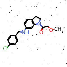 COCC(=O)N1CCc2ccc(NCc3ccc(Cl)cc3)cc21